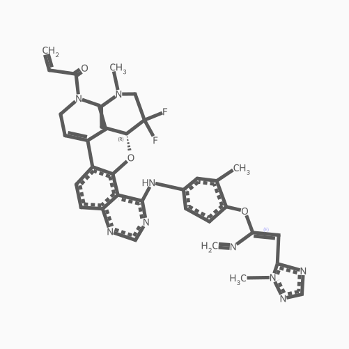 C=CC(=O)N1CC=C(c2ccc3ncnc(Nc4ccc(O/C(=C/c5ncnn5C)N=C)c(C)c4)c3c2O[C@@H]2CCN(C)CC2(F)F)CC1